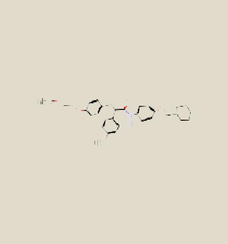 CCCCOCCOc1ccc(CC(C(=O)Nc2ccc(OCC3CCCCC3)cc2)c2ccc(C(C)(C)C)cc2)cc1